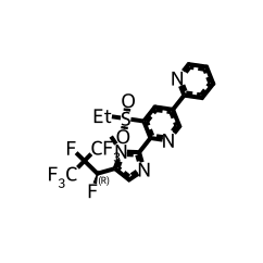 CCS(=O)(=O)c1cc(-c2ccccn2)cnc1-c1ncc([C@@H](F)C(F)(C(F)(F)F)C(F)(F)F)n1C